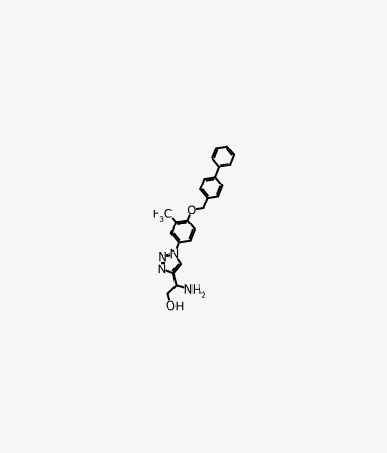 NC(CO)c1cn(-c2ccc(OCc3ccc(-c4ccccc4)cc3)c(C(F)(F)F)c2)nn1